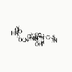 Cc1ncsc1-c1ccc([C@H](C)NC(=O)[C@@H]2C[C@@H](O)CN2C(=O)[C@@H](NC(=O)CN2CCC(O[C@H]3C[C@H](NC(=O)OC(C)(C)C)C3)CC2)C(C)(C)C)cc1